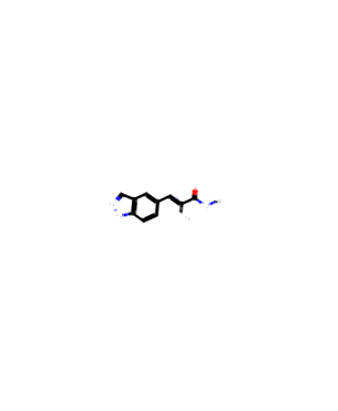 CC(C)NC(=O)/C(C#N)=C/c1ccc2[nH]ncc2c1